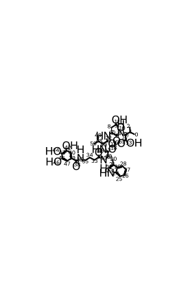 CC(C)[C@@H](NC(=O)[C@H](CC(=O)O)NC(=O)[C@H](NC(=O)[C@H](Cc1c[nH]c2ccccc12)NC(=O)CCCNC(=O)c1cc(O)c(O)c(O)c1)C(C)C)C(=O)O